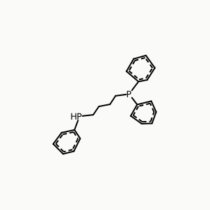 c1ccc(PCCCCP(c2ccccc2)c2ccccc2)cc1